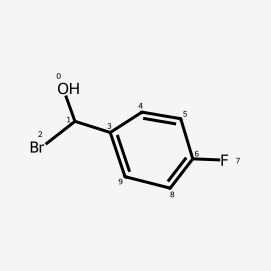 OC(Br)c1ccc(F)cc1